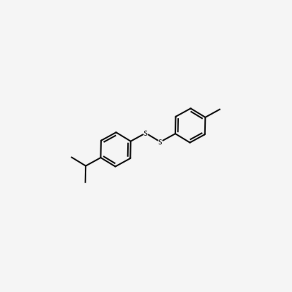 Cc1ccc(SSc2ccc(C(C)C)cc2)cc1